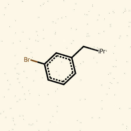 C[C](C)Cc1cccc(Br)c1